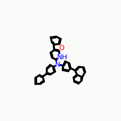 C1=CC(N(c2ccc(-c3ccccc3)cc2)c2ccc(-c3cccc4ccccc34)cc2)Nc2oc3ccccc3c21